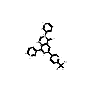 O=c1c2cc(-c3ccc(C(F)(F)F)nc3)nc(-c3cccnc3)c2ncn1-c1cccnc1